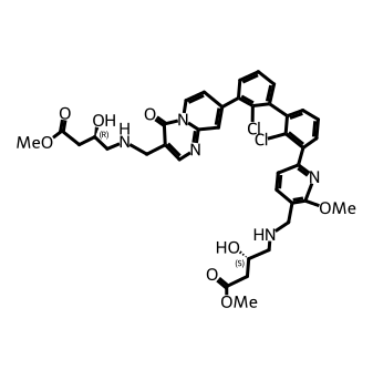 COC(=O)C[C@H](O)CNCc1ccc(-c2cccc(-c3cccc(-c4ccn5c(=O)c(CNC[C@H](O)CC(=O)OC)cnc5c4)c3Cl)c2Cl)nc1OC